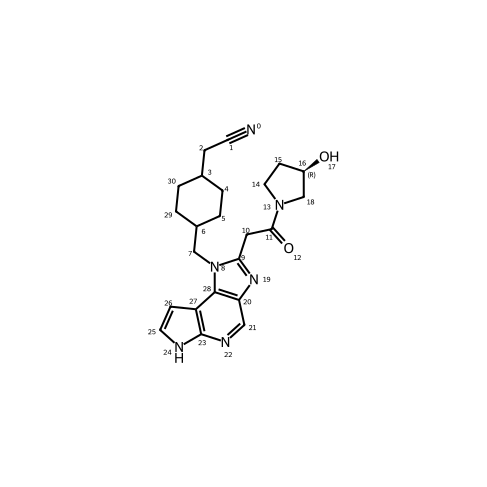 N#CCC1CCC(Cn2c(CC(=O)N3CC[C@@H](O)C3)nc3cnc4[nH]ccc4c32)CC1